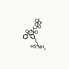 CC(CC(=O)OC(=O)C(F)(F)F)N1CC(=O)N(c2ccccc2)c2ccc(CCCC(N)S)cc2C1=O